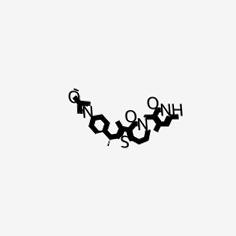 COC1CN([C@H]2CC[C@H]([C@@H](C)c3sc4c(c3C)C(=O)N(Cc3c(C)cc(C)[nH]c3=O)CCC4)CC2)C1